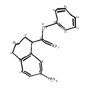 Nc1ccc2c(c1)C(C(=O)Oc1ccccc1)CCC2